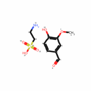 COc1cc(C=O)ccc1O.NCCS(=O)(=O)O